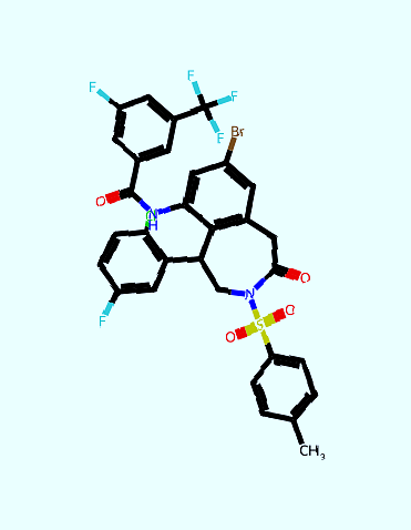 Cc1ccc(S(=O)(=O)N2CC(c3cc(F)ccc3Cl)c3c(cc(Br)cc3NC(=O)c3cc(F)cc(C(F)(F)F)c3)CC2=O)cc1